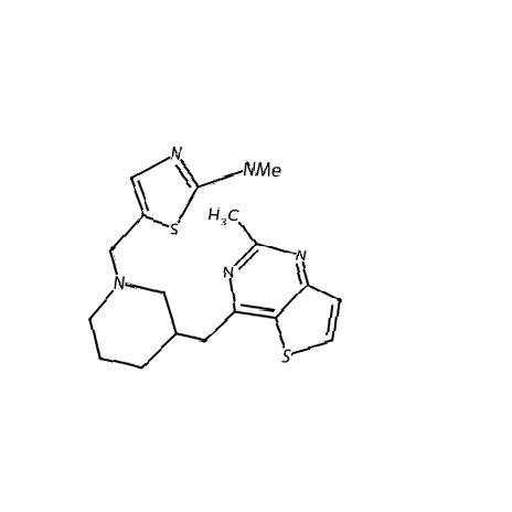 CNc1ncc(CN2CCCC(Cc3nc(C)nc4ccsc34)C2)s1